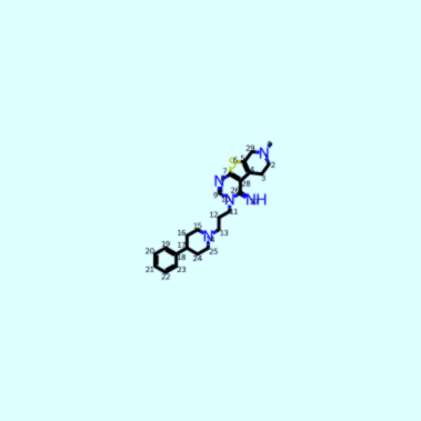 CN1CCc2c(sc3ncn(CCCN4CCC(c5ccccc5)CC4)c(=N)c23)C1